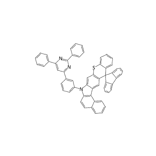 c1ccc(-c2cc(-c3cccc(-n4c5cc6c(cc5c5c7ccccc7ccc54)C4(c5ccccc5S6)c5ccccc5-c5ccccc54)c3)nc(-c3ccccc3)n2)cc1